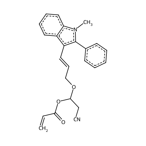 C=CC(=O)OC(CC#N)OCC=Cc1c(-c2ccccc2)n(C)c2ccccc12